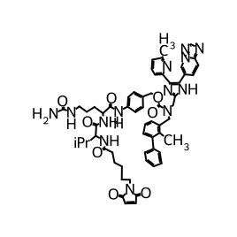 Cc1cccc(-c2nc(CN(Cc3cccc(-c4ccccc4)c3C)C(=O)OCc3ccc(NC(=O)C(CCCNC(N)=O)NC(=O)C(NC(=O)CCCCCN4C(=O)C=CC4=O)C(C)C)cc3)[nH]c2-c2ccc3ncnn3c2)n1